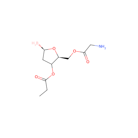 B[C@@H]1CC(OC(=O)CC)[C@H](COC(=O)CN)O1